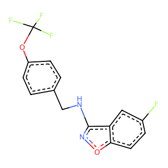 Fc1ccc2onc(NCc3ccc(OC(F)(F)F)cc3)c2c1